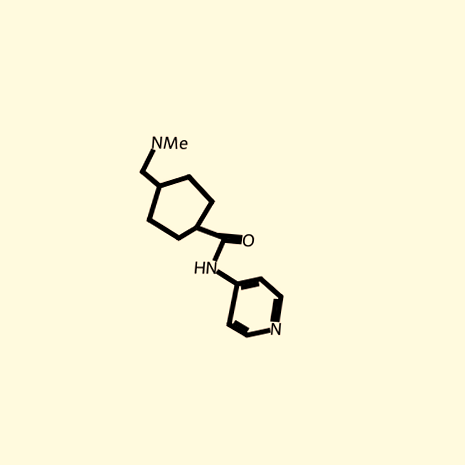 CNCC1CCC(C(=O)Nc2ccncc2)CC1